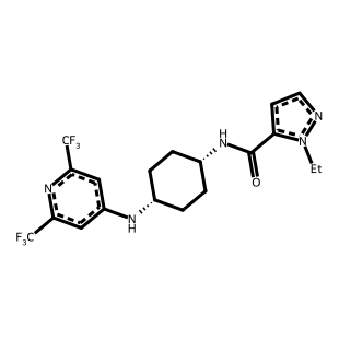 CCn1nccc1C(=O)N[C@H]1CC[C@@H](Nc2cc(C(F)(F)F)nc(C(F)(F)F)c2)CC1